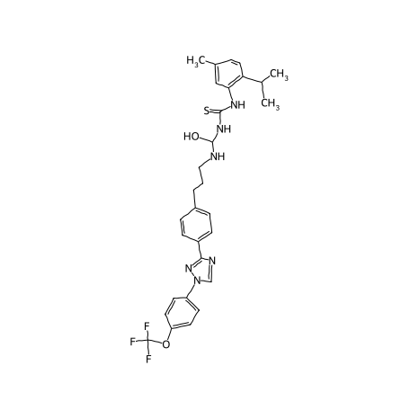 Cc1ccc(C(C)C)c(NC(=S)NC(O)NCCCc2ccc(-c3ncn(-c4ccc(OC(F)(F)F)cc4)n3)cc2)c1